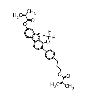 C=C(C)C(=O)OCCCc1ccc(-c2ccc3c(sc4cc(OC(=O)C(=C)C)ccc43)c2OC(F)(F)F)cc1